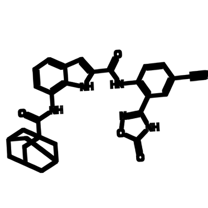 N#Cc1ccc(NC(=O)c2cc3cccc(NC(=O)C45CC6CC(CC(C6)C4)C5)c3[nH]2)c(-c2noc(=O)[nH]2)c1